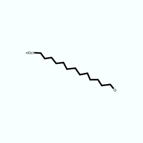 CCCCCCCCCCCCCCCCCCCCC[O]